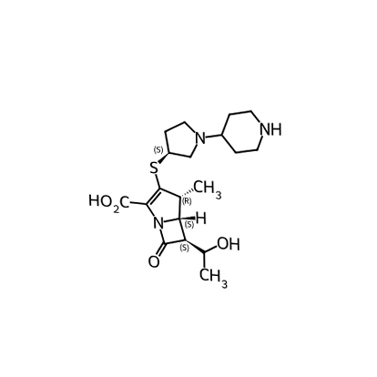 CC(O)[C@H]1C(=O)N2C(C(=O)O)=C(S[C@H]3CCN(C4CCNCC4)C3)[C@H](C)[C@H]12